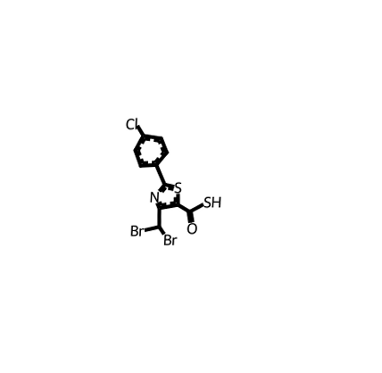 O=C(S)c1sc(-c2ccc(Cl)cc2)nc1C(Br)Br